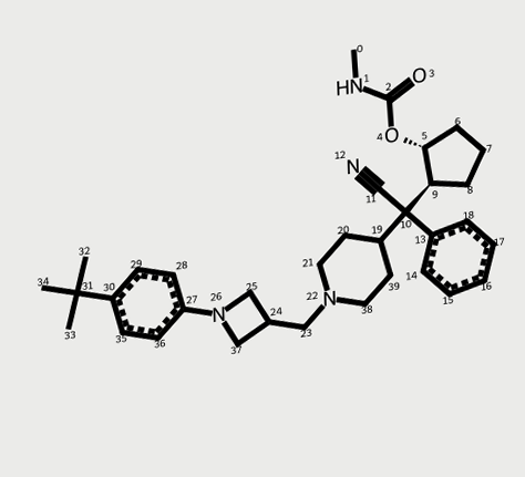 CNC(=O)O[C@@H]1CCC[C@H]1C(C#N)(c1ccccc1)C1CCN(CC2CN(c3ccc(C(C)(C)C)cc3)C2)CC1